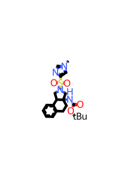 Cn1cnc(S(=O)(=O)N2CC3c4ccccc4CCC3(NC(=O)OC(C)(C)C)C2)c1